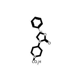 O=C(O)N1CCC(N2C[C@H](c3ccccc3)OC2=O)CC1